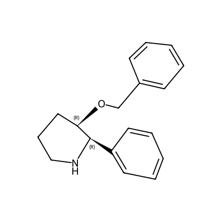 c1ccc(CO[C@@H]2CCCN[C@@H]2c2ccccc2)cc1